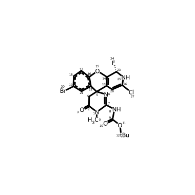 CN1C(=O)CC2(N=C1NC(=O)OC(C)(C)C)C1=C(Oc3ccc(Br)cc32)[C@H](F)NC(Cl)=C1